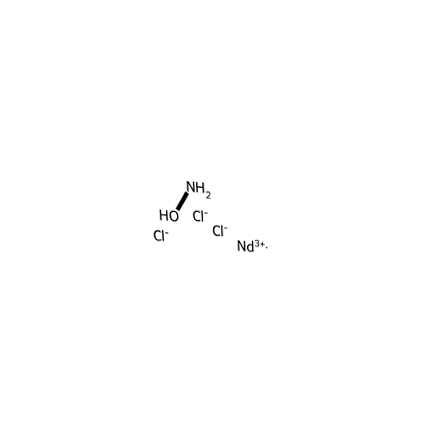 NO.[Cl-].[Cl-].[Cl-].[Nd+3]